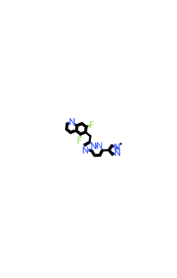 Cn1cc(-c2ccc3ncc(Cc4c(F)cc5ncccc5c4F)n3n2)cn1